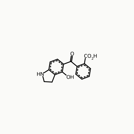 O=C(O)c1ccccc1C(=O)c1ccc2c(c1O)CCN2